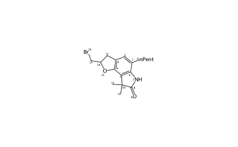 CCCCCc1cc2c(c3c1NC(=O)C3(C)C)OC(CBr)C2